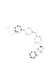 O=Cc1ccc(N2CCC(CC3CCN(C(=O)C(O)(c4ccccc4)C(F)(F)C(F)(F)F)CC3)CC2)nc1Cl